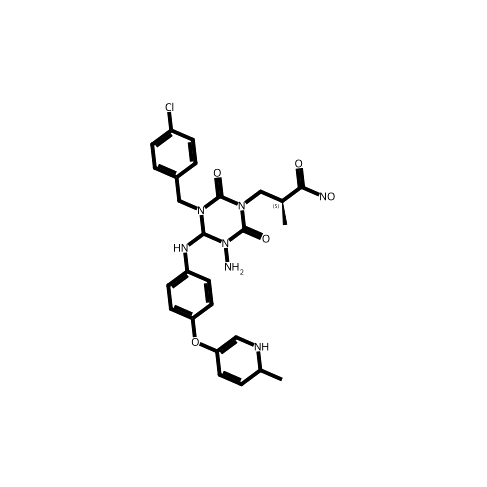 CC1C=CC(Oc2ccc(NC3N(N)C(=O)N(C[C@H](C)C(=O)N=O)C(=O)N3Cc3ccc(Cl)cc3)cc2)=CN1